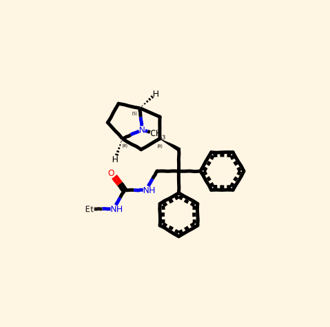 CCNC(=O)NCC(C[C@H]1C[C@H]2CC[C@@H](C1)N2C)(c1ccccc1)c1ccccc1